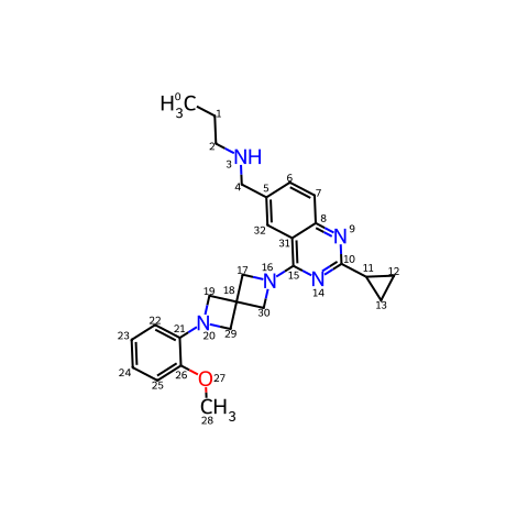 CCCNCc1ccc2nc(C3CC3)nc(N3CC4(CN(c5ccccc5OC)C4)C3)c2c1